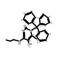 CCCNc1nc(=O)n(C(c2ccccc2)(c2ccccc2)c2ccccc2)c(O)c1O